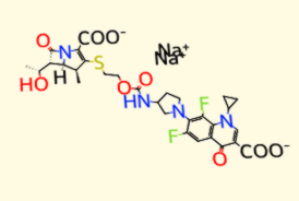 C[C@@H]1C(SCCOC(=O)NC2CCN(c3c(F)cc4c(=O)c(C(=O)[O-])cn(C5CC5)c4c3F)C2)=C(C(=O)[O-])N2C(=O)[C@@H]([C@@H](C)O)[C@H]12.[Na+].[Na+]